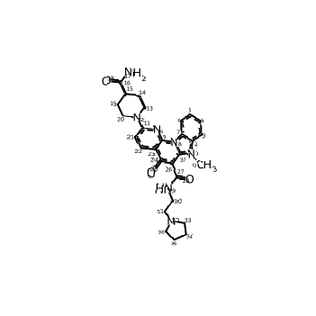 Cn1c2ccccc2n2c3nc(N4CCC(C(N)=O)CC4)ccc3c(=O)c(C(=O)NCCN3CCCC3)c12